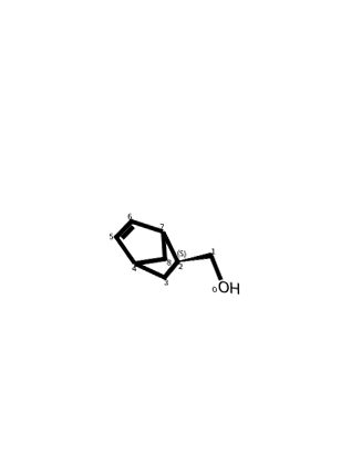 OC[C@H]1CC2C=CC1C2